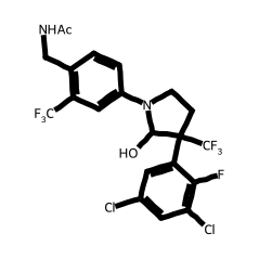 CC(=O)NCc1ccc(N2CCC(c3cc(Cl)cc(Cl)c3F)(C(F)(F)F)C2O)cc1C(F)(F)F